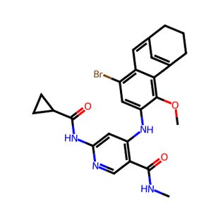 CNC(=O)c1cnc(NC(=O)C2CC2)cc1Nc1cc(Br)c2cc3cc(c2c1OC)CCC3